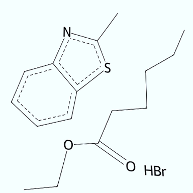 Br.CCCCCC(=O)OCC.Cc1nc2ccccc2s1